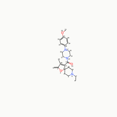 C=C1OC2(CCN(CC)CC2)C(C(=O)N2CCN(c3ccc(OC)cc3)CC2)=C1C